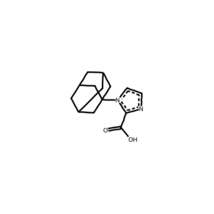 O=C(O)c1nccn1C12CC3CC(CC(C3)C1)C2